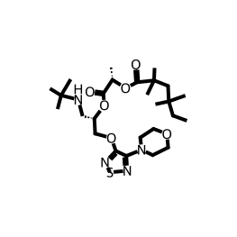 CCC(C)(C)CC(C)(C)C(=O)O[C@@H](C)C(=O)O[C@@H](CNC(C)(C)C)COc1nsnc1N1CCOCC1